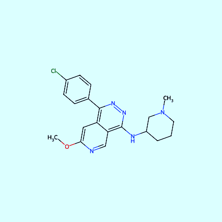 COc1cc2c(-c3ccc(Cl)cc3)nnc(NC3CCCN(C)C3)c2cn1